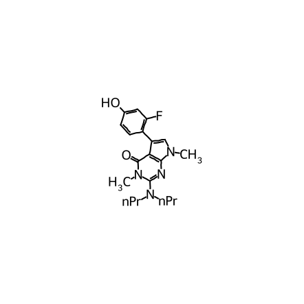 CCCN(CCC)c1nc2c(c(-c3ccc(O)cc3F)cn2C)c(=O)n1C